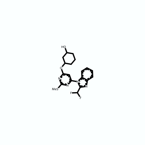 CSc1nc(OC2CCCC(O)C2)cc(-n2c(C(F)F)nc3ccccc32)n1